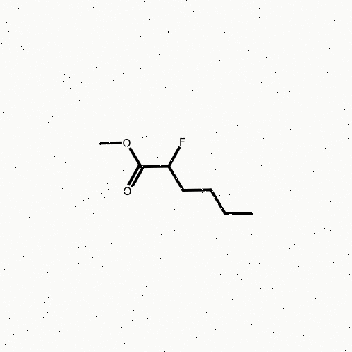 CCCCC(F)C(=O)OC